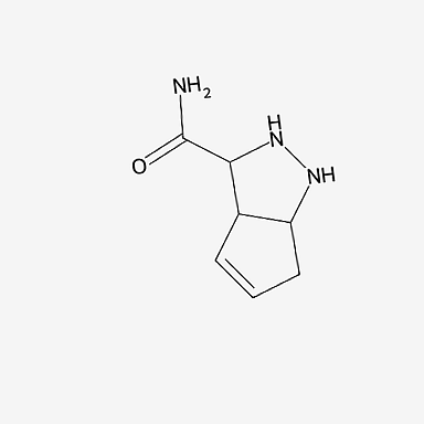 NC(=O)C1NNC2CC=CC21